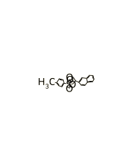 Cc1ccc(S(=O)(=O)OC(C=O)c2ccc3ccccc3c2)cc1